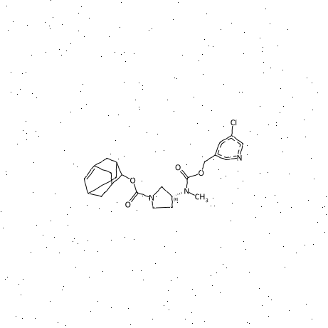 CN(C(=O)OCc1cncc(Cl)c1)[C@@H]1CCN(C(=O)OC2C3CC4=CC(C3)CC2C4)C1